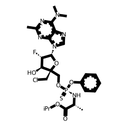 Cc1nc(N(C)C)c2ncn([C@@H]3O[C@](CCl)(CO[P@@](=S)(N[C@H](C)C(=O)OC(C)C)Oc4ccccc4)[C@@H](O)[C@@H]3F)c2n1